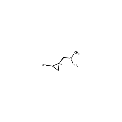 CC(C)C1C[C@@H]1CN(C)C